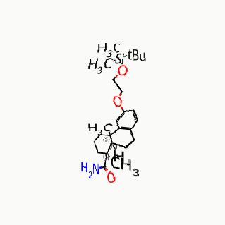 CC(C)(C)[Si](C)(C)OCCOc1ccc2c(c1)[C@@]1(C)CCC[C@](C)(C(N)=O)[C@@H]1CC2